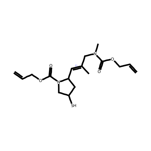 C=CCOC(=O)N(C)C/C(C)=C/C1CC(S)CN1C(=O)OCC=C